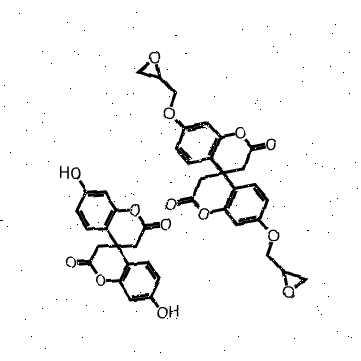 O=C1CC2(CC(=O)Oc3cc(O)ccc32)c2ccc(O)cc2O1.O=C1CC2(CC(=O)Oc3cc(OCC4CO4)ccc32)c2ccc(OCC3CO3)cc2O1